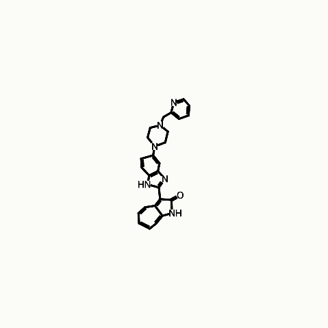 O=c1[nH]c2cccccc-2c1-c1nc2cc(N3CCN(Cc4ccccn4)CC3)ccc2[nH]1